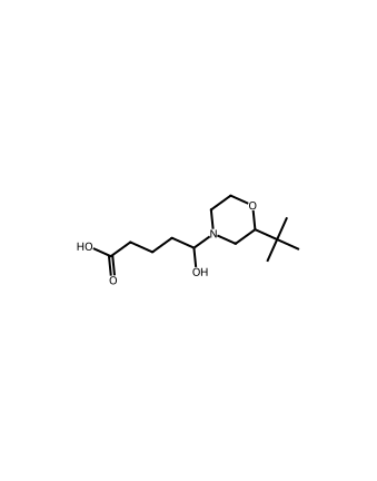 CC(C)(C)C1CN(C(O)CCCC(=O)O)CCO1